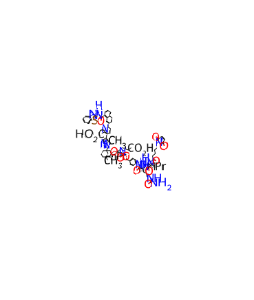 CCCC1(OCCN(CCC(=O)O)C(=O)OCc2ccc(NC(=O)[C@H](CCCNC(N)=O)NC(=O)[C@@H](NC(=O)CCCCCN3C(=O)C=CC3=O)C(C)C)cc2)CC2(C)CCCC(Cn3ncc(-c4ccc(-c5ccc6cccc(C(=O)Nc7nc8ccccc8s7)c6c5)nc4C(=O)O)c3C)(C2)C1